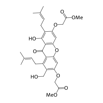 COC(=O)COc1cc2oc3cc(OCC(=O)OC)c(CO)c(CC=C(C)C)c3c(=O)c2c(O)c1CC=C(C)C